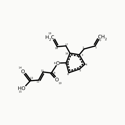 C=CCc1cccc(OC(=O)C=CC(=O)O)c1CC=C